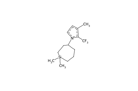 Cc1ccn(C2CCC[Si](C)(C)CC2)c1C(F)(F)F